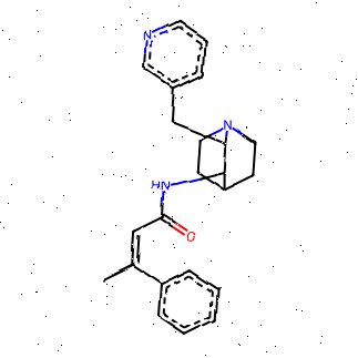 C/C(=C/C(=O)NC1C2CCN(CC2)C1Cc1cccnc1)c1ccccc1